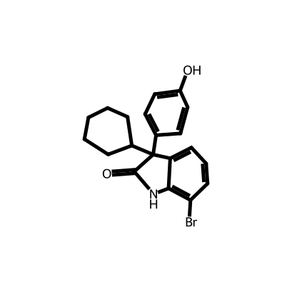 O=C1Nc2c(Br)cccc2C1(c1ccc(O)cc1)C1CCCCC1